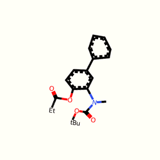 CCC(=O)Oc1ccc(-c2ccccc2)cc1N(C)C(=O)OC(C)(C)C